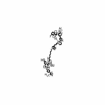 Cc1ncsc1-c1ccc(CNC(=O)[C@@H]2C[C@@H](O)CN2C(=O)[C@@H](NC(=O)CCCCCCCn2cc(CCCN3CCCC(n4cc(-c5cnc(N)c(O[C@H](C)c6c(Cl)ccc(F)c6Cl)c5)cn4)C3)nn2)C(C)(C)C)cc1